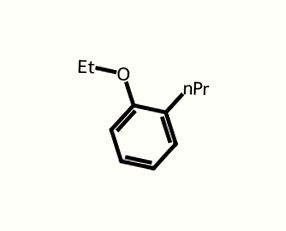 CCCc1ccccc1OCC